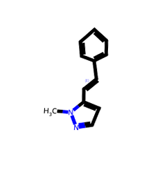 Cn1nccc1/C=C/c1ccccc1